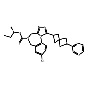 CC[C@@H](C)OC(=O)N1Cc2cc(Cl)ccc2-n2c(nnc2C2CC3(C2)CN(c2cnccn2)C3)C1